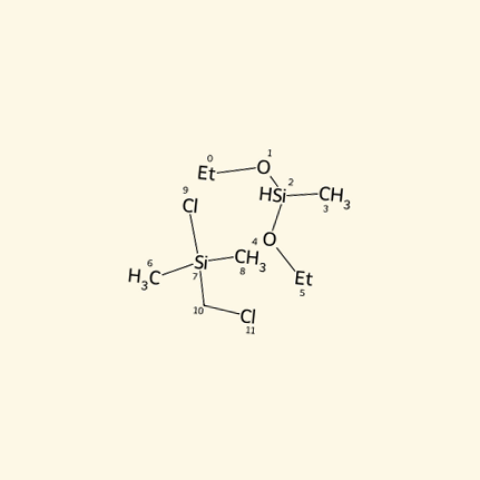 CCO[SiH](C)OCC.C[Si](C)(Cl)CCl